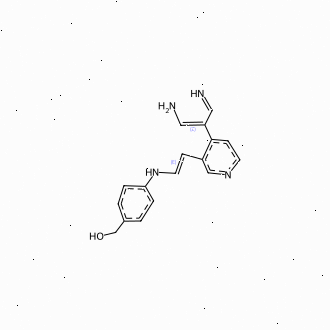 N=C/C(=C\N)c1ccncc1/C=C/Nc1ccc(CO)cc1